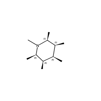 C[C@H]1[C@@H](C)[C@@H](C)N(C)[C@@H](C)[C@H]1C